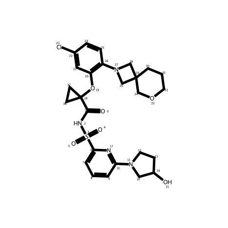 O=C(NS(=O)(=O)c1cccc(N2CCC(O)C2)n1)C1(Oc2cc(Cl)ccc2N2CC3(CCCOC3)C2)CC1